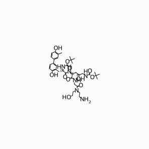 Cc1cc(-c2ccc(O)c(C[C@H](NC(=O)OC(C)(C)C)C(=O)N[C@@H](C[C@@H](O)CNC(=O)OC(C)(C)C)C(=O)NCC(=O)N(CCN)CCO)c2)ccc1O